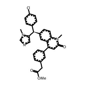 COC(=O)Cc1cccc(-c2cc(=O)n(C)c3ccc([C@H](c4ccc(Cl)cc4)c4cncn4C)cc23)c1